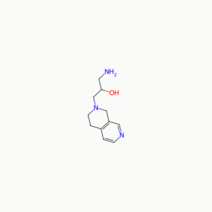 NCC(O)CN1CCc2ccncc2C1